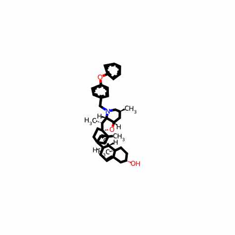 C[C@H]1C[C@H]2O[C@]3(CCC45CC3(C)C4C[C@H]3[C@H]5CC=C4C[C@@H](O)CC[C@@]43C)[C@H](C)[C@@H]2N(Cc2ccc(Oc3ccccc3)cc2)C1